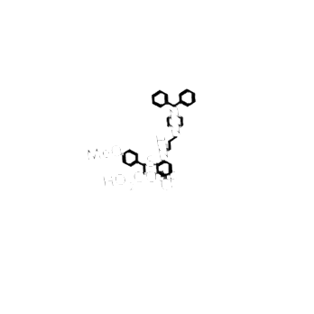 COc1ccc(C(Sc2cc(Cl)ccc2NCCCN2CCN(C(c3ccccc3)c3ccccc3)CC2)C(OC(C)=O)C(=O)O)cc1